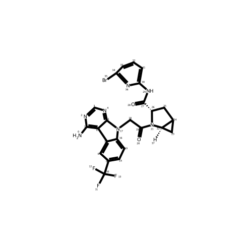 Nc1ncnc2c1c1cc(C(F)(F)F)ccc1n2CC(=O)N1[C@@H]2CC2C[C@H]1C(=O)Nc1cccc(Br)n1